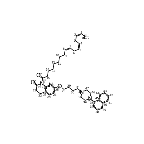 CC/C=C\C/C=C\C/C=C\CCCCCCCC(=O)N1C(=O)CCc2ccc(OCCCCN3CCN(c4cccc5ccccc45)CC3)nc21